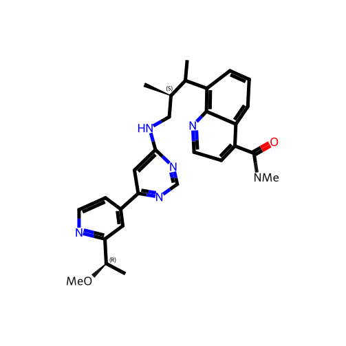 CNC(=O)c1ccnc2c(C(C)[C@H](C)CNc3cc(-c4ccnc([C@@H](C)OC)c4)ncn3)cccc12